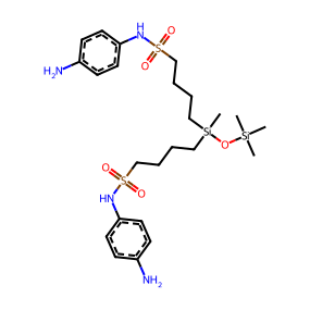 C[Si](C)(C)O[Si](C)(CCCCS(=O)(=O)Nc1ccc(N)cc1)CCCCS(=O)(=O)Nc1ccc(N)cc1